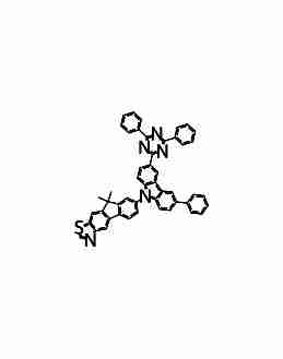 CC1(C)c2cc(-n3c4ccc(-c5ccccc5)cc4c4cc(-c5nc(-c6ccccc6)nc(-c6ccccc6)n5)ccc43)ccc2-c2cc3ncsc3cc21